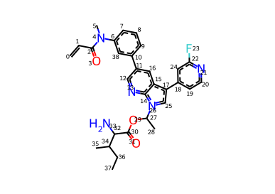 C=CC(=O)N(C)c1cccc(-c2cnc3c(c2)c(-c2ccnc(F)c2)cn3C(C)OC(=O)C(N)C(C)CC)c1